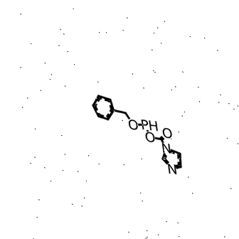 O=C(OPOCc1ccccc1)n1ccnc1